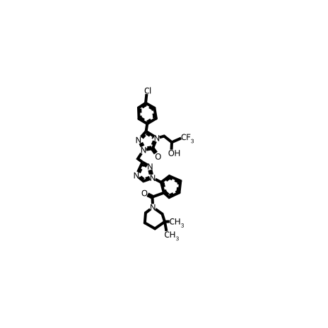 CC1(C)CCCN(C(=O)c2ccccc2-n2cnc(Cn3nc(-c4ccc(Cl)cc4)n(CC(O)C(F)(F)F)c3=O)n2)C1